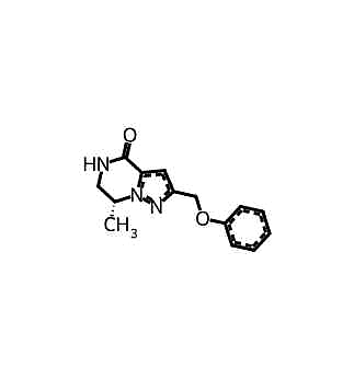 C[C@@H]1CNC(=O)c2cc(COc3ccccc3)nn21